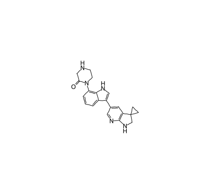 O=C1CNCCN1c1cccc2c(-c3cnc4c(c3)C3(CC3)CN4)c[nH]c12